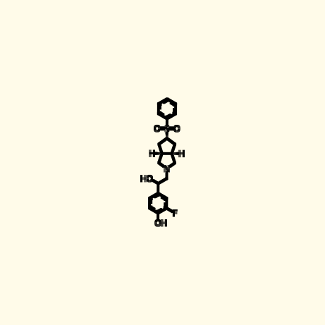 O=S(=O)(c1ccccc1)[C@H]1C[C@@H]2CN(CC(O)c3ccc(O)c(F)c3)C[C@@H]2C1